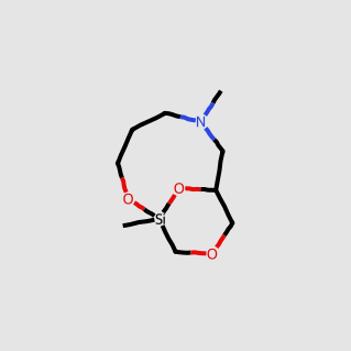 CN1CCCO[Si]2(C)COCC(C1)O2